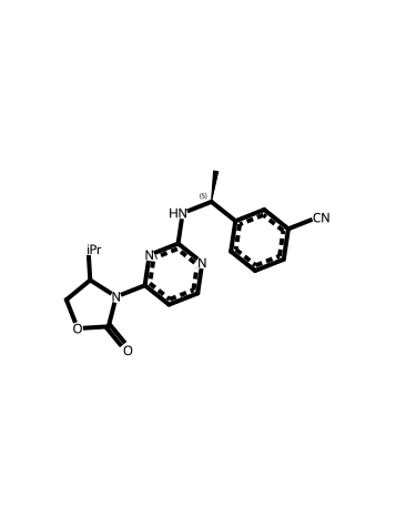 CC(C)C1COC(=O)N1c1ccnc(N[C@@H](C)c2cccc(C#N)c2)n1